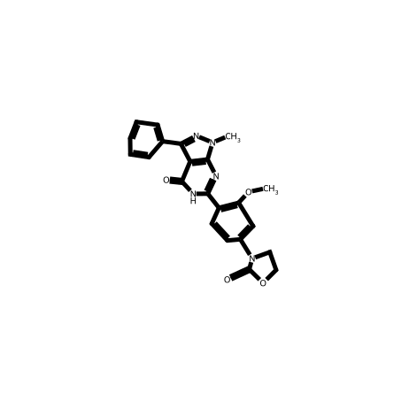 COc1cc(N2CCOC2=O)ccc1-c1nc2c(c(-c3ccccc3)nn2C)c(=O)[nH]1